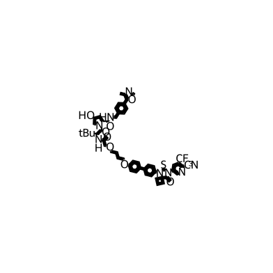 Cc1ncoc1-c1ccc(CNC(=O)[C@@H]2C[C@@H](O)CN2C(=O)[C@@H](NC(=O)COCCCCOc2ccc(-c3ccc(N4C(=S)N(c5cnc(C#N)c(C(F)(F)F)c5)C(=O)C45CCC5)cc3)cc2)C(C)(C)C)cc1